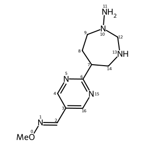 CON=Cc1cnc(C2CCN(N)CNC2)nc1